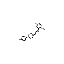 Cc1ccc(C(C)C)c(OCCN2CCN(c3ccc(F)cc3)CC2)c1